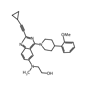 COc1ccccc1C1CCN(c2nc(C#CC3CC3)nc3ccc(N(C)CCO)cc23)CC1